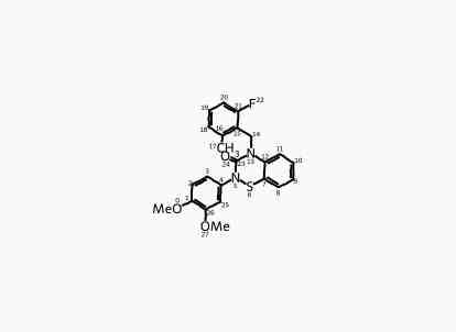 COc1ccc(N2Sc3ccccc3N(Cc3c(C)cccc3F)C2=O)cc1OC